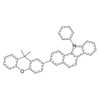 CC1(C)c2ccccc2Oc2ccc(-c3ccc4c(ccc5c6ccccc6n(-c6ccccc6)c45)c3)cc21